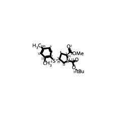 COC(=O)[C@@H]1C[C@@H](Sc2ccc(C)cc2C)CN1C(=O)OC(C)(C)C